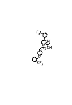 N#Cc1cnn2c1N(C(=O)CN1CCN(Cc3ccccc3C(F)(F)F)CC1)CC=C2c1cccc(C(F)(F)F)c1